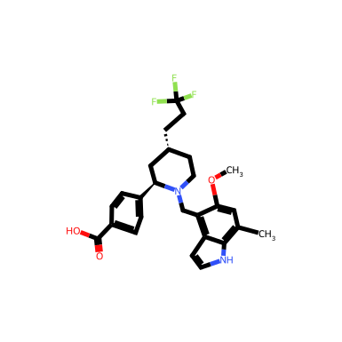 COc1cc(C)c2[nH]ccc2c1CN1CC[C@@H](CCC(F)(F)F)C[C@@H]1c1ccc(C(=O)O)cc1